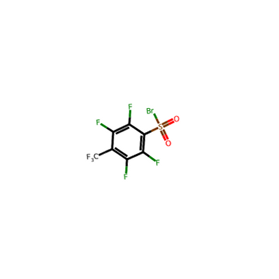 O=S(=O)(Br)c1c(F)c(F)c(C(F)(F)F)c(F)c1F